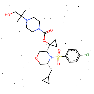 CC(C)(CO)N1CCN(C(=O)OC2([C@H]3COC[C@@H](CC4CC4)N3S(=O)(=O)c3ccc(Cl)cc3)CC2)CC1